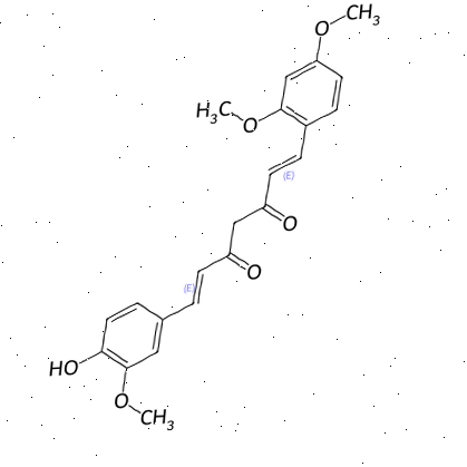 COc1ccc(/C=C/C(=O)CC(=O)/C=C/c2ccc(O)c(OC)c2)c(OC)c1